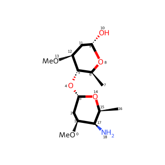 CO[C@H]1C[C@H](O[C@H]2[C@H](C)O[C@@H](O)C[C@@H]2OC)O[C@@H](C)[C@H]1N